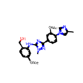 COc1ccc(CO)c(Nc2nc(-c3ccc(-n4cnc(C)c4)c(OC)c3)nn2C)c1